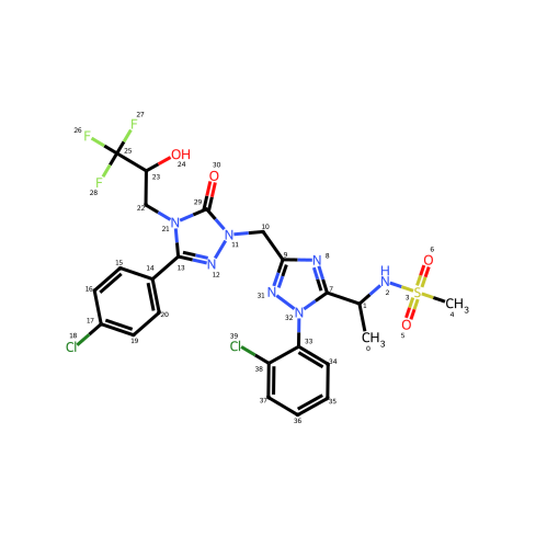 CC(NS(C)(=O)=O)c1nc(Cn2nc(-c3ccc(Cl)cc3)n(CC(O)C(F)(F)F)c2=O)nn1-c1ccccc1Cl